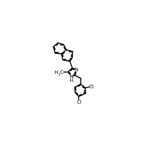 Cc1[nH]c(Cc2ccc(Cl)cc2Cl)nc1-c1ccc2ccccc2c1